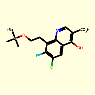 CC(C)(C)[Si](C)(C)OCCc1c(F)c(Cl)cc2c(O)c(C(=O)O)cnc12